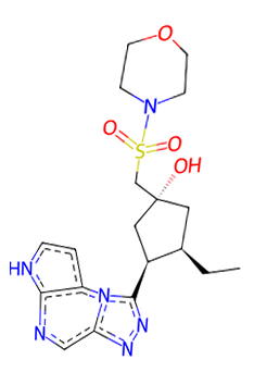 CC[C@@H]1C[C@](O)(CS(=O)(=O)N2CCOCC2)C[C@@H]1c1nnc2cnc3[nH]ccc3n12